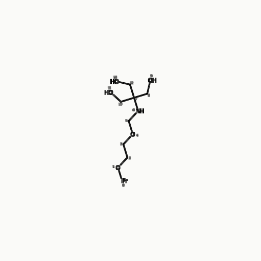 CC(C)OCCOCNC(CO)(CO)CO